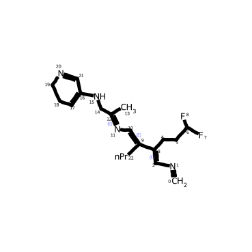 C=N/C=C(CCC(F)F)/C(=C/N=C(\C)CNC1=CCCN=C1)CCC